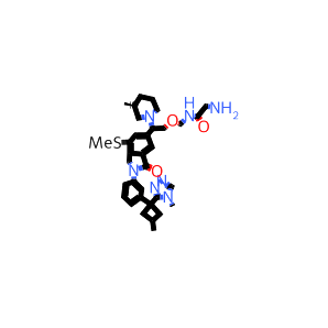 CSc1cc(C(COCNC(=O)CN)N2CCC[C@H](C)C2)cc2c1CN(c1cccc(C3(c4nncn4C)CC(C)C3)c1)C2=O